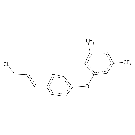 FC(F)(F)c1cc(Oc2ccc(C=CCCl)cc2)cc(C(F)(F)F)c1